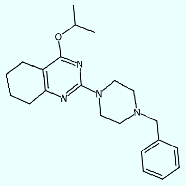 CC(C)Oc1nc(N2CCN(Cc3ccccc3)CC2)nc2c1CCCC2